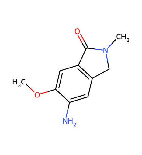 COc1cc2c(cc1N)CN(C)C2=O